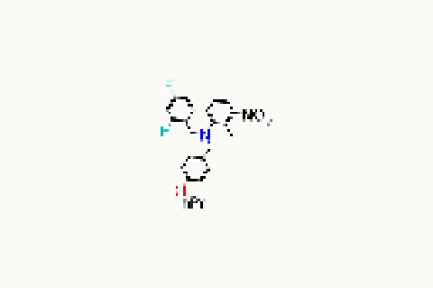 CCCOc1ccc(CN(Cc2ccc(F)cc2F)c2cccc([N+](=O)[O-])c2C)cc1